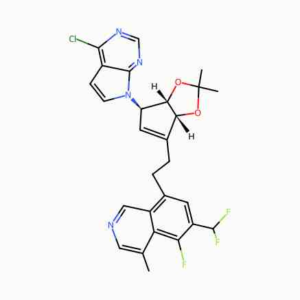 Cc1cncc2c(CCC3=C[C@@H](n4ccc5c(Cl)ncnc54)[C@@H]4OC(C)(C)O[C@H]34)cc(C(F)F)c(F)c12